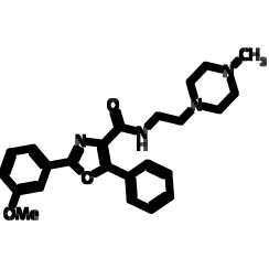 COc1cccc(-c2nc(C(=O)NCCN3CCN(C)CC3)c(-c3ccccc3)o2)c1